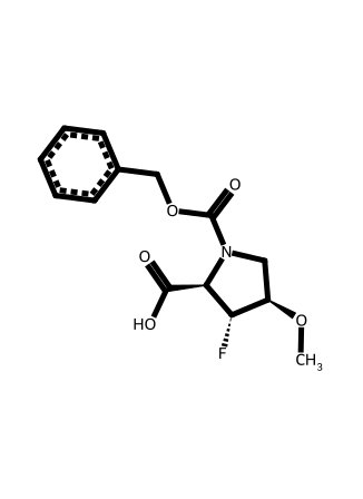 CO[C@@H]1CN(C(=O)OCc2ccccc2)[C@H](C(=O)O)[C@H]1F